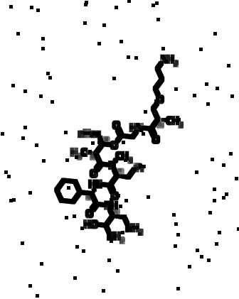 CCCCCC[C@@H](OC(=O)CNC(=O)[C@@H](C)COCCCN)[C@@H](C)C(=O)N(C)[C@@H](CC(C)C)C(=O)N[C@H](C(=O)N[C@@H](CN)C(N)O)C1CCCCC1